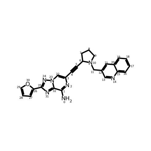 Nc1nc(C#CC2CCCN2Cc2cnc3ccccc3c2)cn2nc(-c3ccco3)nc12